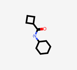 O=C([N]C1CCCCC1)C1CCC1